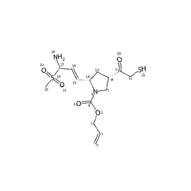 C=CCOC(=O)N1C[C@@H](C(=O)CS)C[C@H]1C=CC(N)S(C)(=O)=O